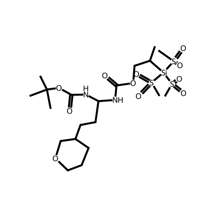 CC(COC(=O)NC(CCC1CCCOC1)NC(=O)OC(C)(C)C)[Si](S(C)(=O)=O)(S(C)(=O)=O)S(C)(=O)=O